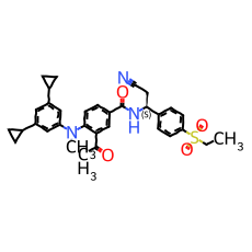 CCS(=O)(=O)c1ccc([C@H](CC#N)NC(=O)c2ccc(N(C)c3cc(C4CC4)cc(C4CC4)c3)c(C(C)=O)c2)cc1